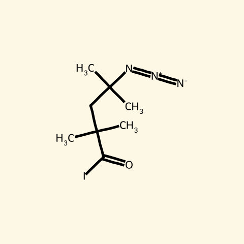 CC(C)(CC(C)(C)C(=O)I)N=[N+]=[N-]